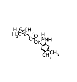 Cc1cc2c(cc1C)N(OC(=O)OCC[Si](C)(C)C)NN2